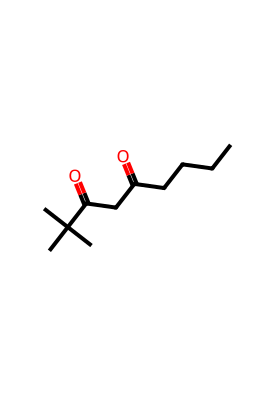 CCCCC(=O)CC(=O)C(C)(C)C